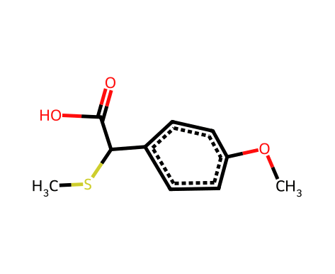 COc1ccc(C(SC)C(=O)O)cc1